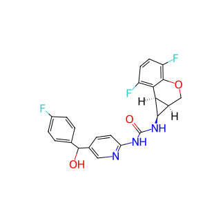 O=C(Nc1ccc(C(O)c2ccc(F)cc2)cn1)N[C@@H]1[C@@H]2COc3c(F)ccc(F)c3[C@@H]21